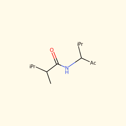 CC(=O)C(NC(=O)C(C)C(C)C)C(C)C